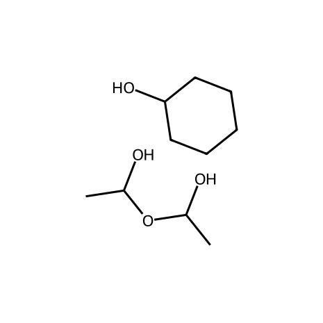 CC(O)OC(C)O.OC1CCCCC1